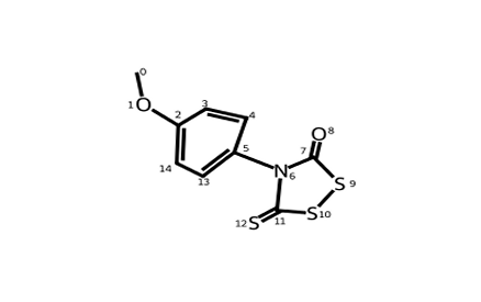 COc1ccc(-n2c(=O)ssc2=S)cc1